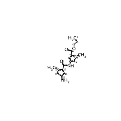 C=CCOC(=O)c1cc(NC(=O)c2cc(N)cn2C)cn1C